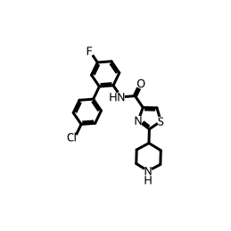 O=C(Nc1ccc(F)cc1-c1ccc(Cl)cc1)c1csc(C2CCNCC2)n1